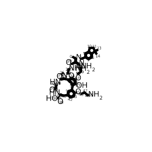 Cc1nc(-c2ccc3c(c2)CCC3(C)C)nc(N)c1C(=O)NCC(=O)N(C)[C@@H]1C(=O)N[C@@H](C)C(=O)N[C@H](C(=O)O)Cc2ccc(OCCCN)c(c2)-c2cc1cc(OCCCN)c2O